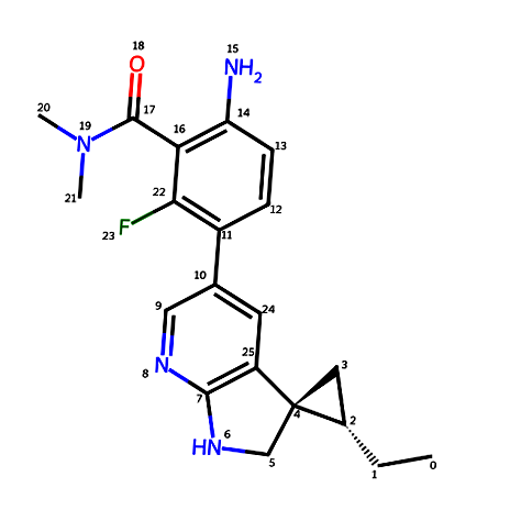 CC[C@H]1C[C@]12CNc1ncc(-c3ccc(N)c(C(=O)N(C)C)c3F)cc12